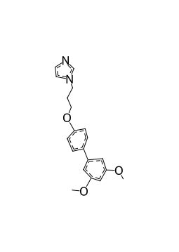 COc1cc(OC)cc(-c2ccc(OCCCn3ccnc3)cc2)c1